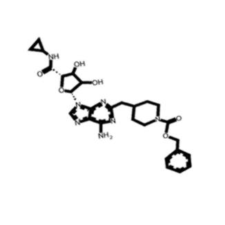 Nc1nc(CC2CCN(C(=O)OCc3ccccc3)CC2)nc2c1ncn2[C@@H]1O[C@H](C(=O)NC2CC2)C(O)C1O